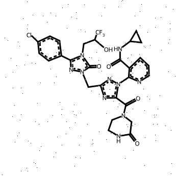 O=C1CN(C(=O)c2nc(Cn3nc(-c4ccc(Cl)cc4)n(CC(O)C(F)(F)F)c3=O)nn2-c2ncccc2C(=O)NC2CC2)CCN1